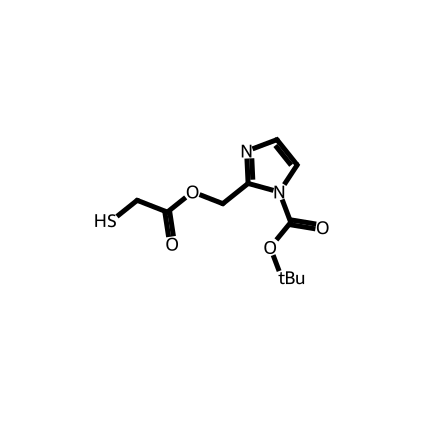 CC(C)(C)OC(=O)n1ccnc1COC(=O)CS